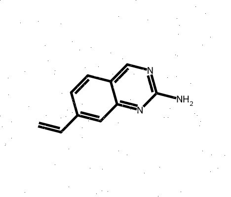 C=Cc1ccc2cnc(N)nc2c1